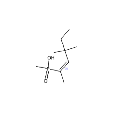 CCC(C)(C)/C=C(/C)P(C)(=O)O